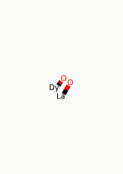 [O]=[Dy].[O]=[La]